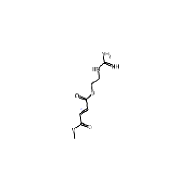 COC(=O)/C=C/C(=O)OCCNC(=N)N